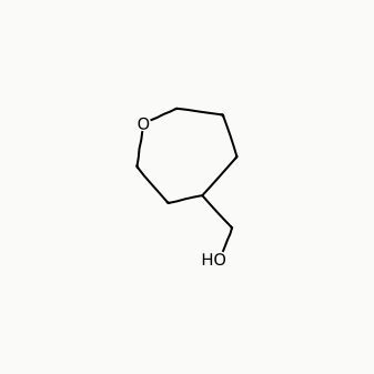 OCC1CCCOCC1